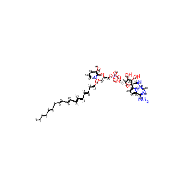 CCCCCCCCCCCCCCCCCCOC[C@H](COP(=O)(O)OC[C@H]1O[C@@](C#N)(c2ccc3c(N)ncnn23)[C@H](O)[C@@H]1O)Oc1ncccc1OC